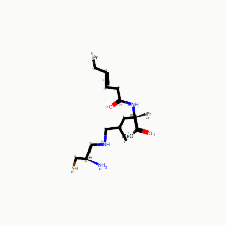 COC(=O)[C@](CC(C)CNC[C@@H](N)CS)(NC(=O)C/C=C/CC(C)C)C(C)C